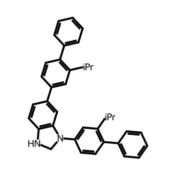 CC(C)c1cc(-c2ccc3c(c2)N(c2ccc(-c4ccccc4)c(C(C)C)c2)CN3)ccc1-c1ccccc1